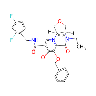 CCN1C(=O)c2c(OCc3ccccc3)c(=O)c(C(=O)NCc3ccc(F)cc3F)cn2[C@H]2COC[C@H]21